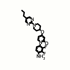 CCCc1cnc(N2CCC(Oc3ccn(-c4ccc(N)c(F)c4F)c(=O)c3)CC2)nc1